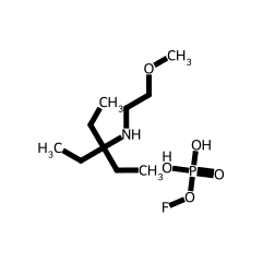 CCC(CC)(CC)NCCOC.O=P(O)(O)OF